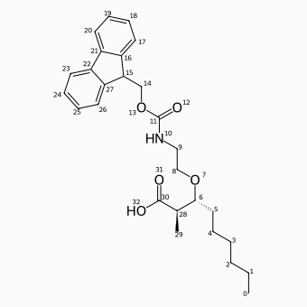 CCCCCC[C@@H](OCCNC(=O)OCC1c2ccccc2-c2ccccc21)[C@@H](C)C(=O)O